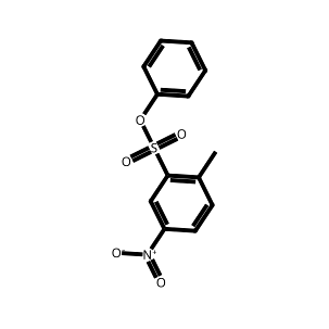 Cc1ccc([N+](=O)[O-])cc1S(=O)(=O)Oc1ccccc1